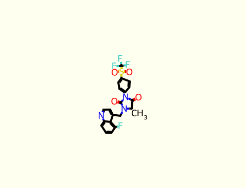 CC1C(=O)N(c2ccc(S(=O)(=O)C(F)(F)F)cc2)C(=O)N1Cc1ccnc2cccc(F)c12